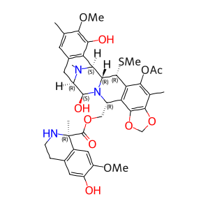 COc1cc2c(cc1O)CCN[C@@]2(C)C(=O)OC[C@H]1c2c3c(c(C)c(OC(C)=O)c2[C@@H](SC)[C@H]2[C@@H]4c5c(cc(C)c(OC)c5O)C[C@H]([C@H](O)N21)N4C)OCO3